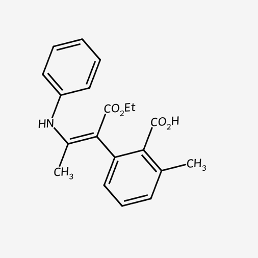 CCOC(=O)C(=C(C)Nc1ccccc1)c1cccc(C)c1C(=O)O